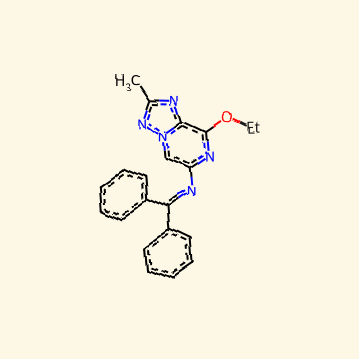 CCOc1nc(N=C(c2ccccc2)c2ccccc2)cn2nc(C)nc12